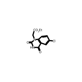 CCOC(=O)Cn1c(=O)[nH]c(=O)c2cc(Cl)ccc21